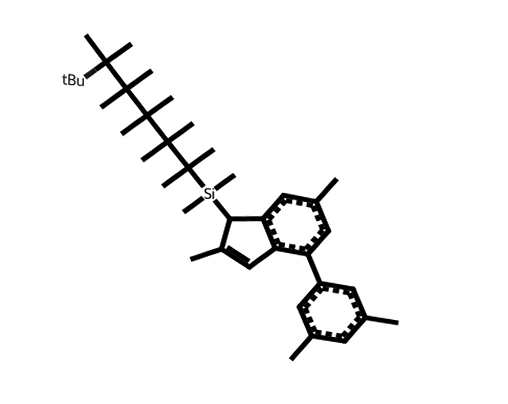 CC1=Cc2c(-c3cc(C)cc(C)c3)cc(C)cc2C1[Si](C)(C)C(C)(C)C(C)(C)C(C)(C)C(C)(C)C(C)(C)C(C)(C)C